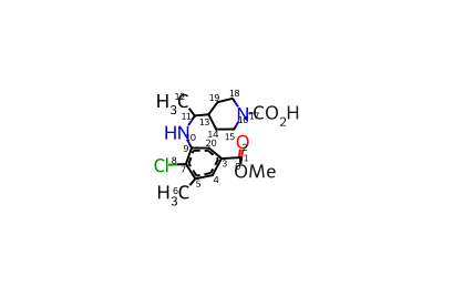 COC(=O)c1cc(C)c(Cl)c(NC(C)C2CCN(C(=O)O)CC2)c1